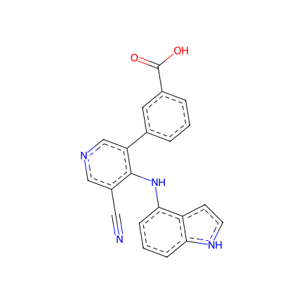 N#Cc1cncc(-c2cccc(C(=O)O)c2)c1Nc1cccc2[nH]ccc12